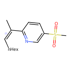 CCCCCC/C=C(/C)c1ccc(S(C)(=O)=O)cn1